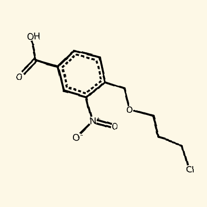 O=C(O)c1ccc(COCCCCl)c([N+](=O)[O-])c1